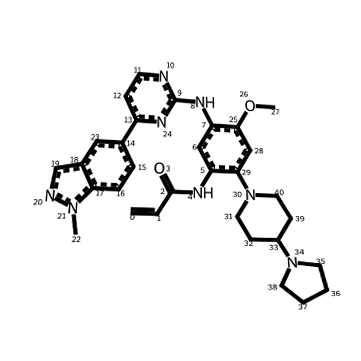 C=CC(=O)Nc1cc(Nc2nccc(-c3ccc4c(cnn4C)c3)n2)c(OC)cc1N1CCC(N2CCCC2)CC1